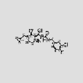 O=C(NCc1ccc(Cl)c(Cl)c1)c1nn2c(c1O)C(=O)N(CC1CC1)CC2